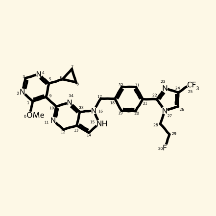 COc1ncnc(C2CC2)c1C1=NCC2=CNN(Cc3ccc(-c4nc(C(F)(F)F)cn4CCF)cc3)C2=N1